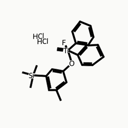 Cl.Cl.[CH2]=[Ti]([F])([O]c1cc(C)cc([Si](C)(C)C)c1)([c]1ccccc1)[c]1ccccc1